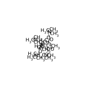 CC(C)(CC(C)(CC(C)(CC(C)(C)C(=O)OCC[N+](C)(C)C)C(=O)OCC[N+](C)(C)C)C(=O)OCC[N+](C)(C)C)C(=O)OCC[N+](C)(C)C